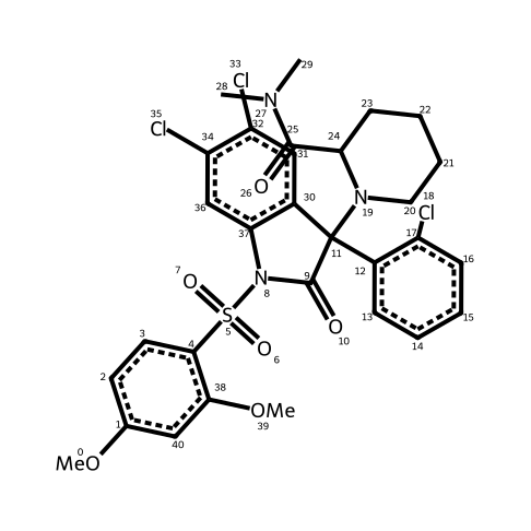 COc1ccc(S(=O)(=O)N2C(=O)C(c3ccccc3Cl)(N3CCCCC3C(=O)N(C)C)c3cc(Cl)c(Cl)cc32)c(OC)c1